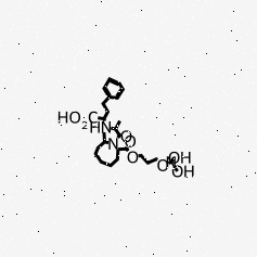 CC(NC(CCc1ccccc1)C(=O)O)C(=O)N1C(C)CCCCCC1C(=O)OCCCON(O)O